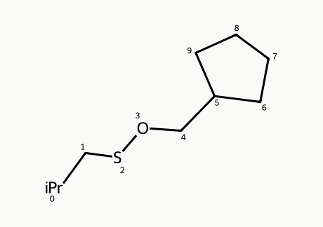 CC(C)CSOCC1CCCC1